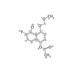 COCOc1ccc(OC(C)=O)c2ccc(F)c(Cl)c12